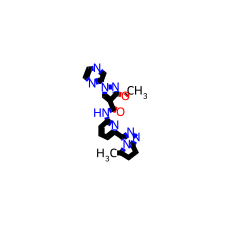 COc1nn(-c2cnccn2)cc1C(=O)Nc1cccc(-c2nnc3n2C(C)CC3)n1